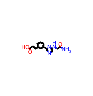 NC(=O)CNc1cncc(-c2cccc(C=CC(=O)O)c2)n1